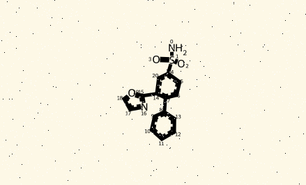 NS(=O)(=O)c1ccc(-c2ccccc2)c(-c2ncco2)c1